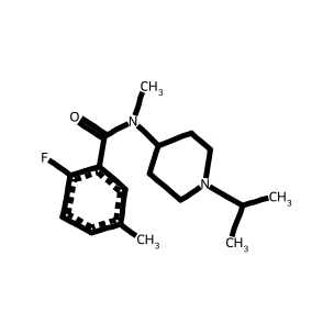 Cc1ccc(F)c(C(=O)N(C)C2CCN(C(C)C)CC2)c1